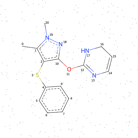 Cc1c(Sc2ccccc2)c(OC2=NC=CCN2)nn1C